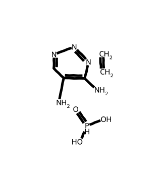 C=C.Nc1cnnnc1N.O=[PH](O)O